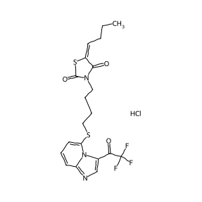 CCCC=C1SC(=O)N(CCCCSc2cccc3ncc(C(=O)C(F)(F)F)n23)C1=O.Cl